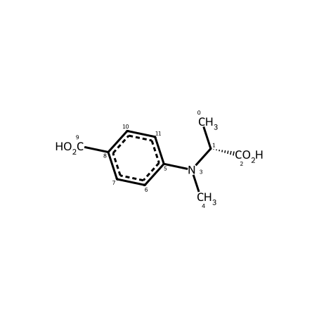 C[C@H](C(=O)O)N(C)c1ccc(C(=O)O)cc1